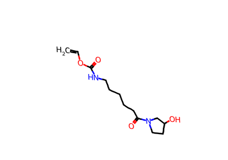 C=COC(=O)NCCCCCC(=O)N1CCC(O)C1